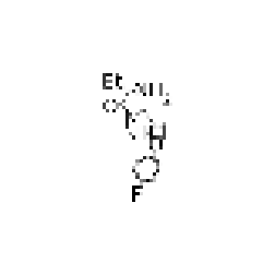 CC[C@H](N)C(=O)N1CCC(Oc2ccc(F)cc2)CC1.Cl